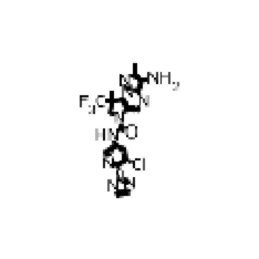 Cc1nn2c3c(cnc2c1N)N(C(=O)Nc1cnc(-n2nccn2)c(Cl)c1)CC3(C)C(F)(F)F